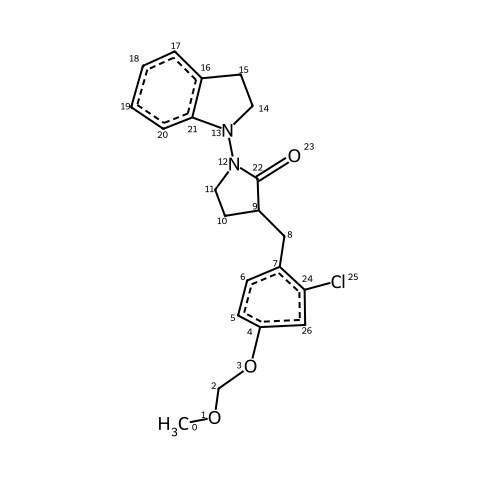 COCOc1ccc(CC2CCN(N3CCc4ccccc43)C2=O)c(Cl)c1